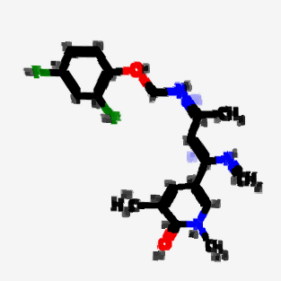 C=N/C(=C\C(C)=N/COc1ccc(F)cc1F)c1cc(C)c(=O)n(C)c1